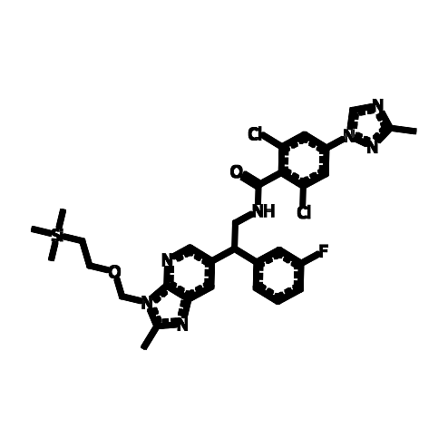 Cc1ncn(-c2cc(Cl)c(C(=O)NCC(c3cccc(F)c3)c3cnc4c(c3)nc(C)n4COCC[Si](C)(C)C)c(Cl)c2)n1